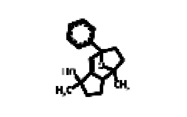 CC1(O)CCC2C1=CC1(c3ccccc3)CCC2(C)O1